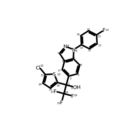 OC(c1ccc2c(cnn2-c2ccc(F)cc2)c1)(c1ccc(Cl)s1)C(F)(F)F